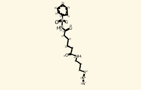 [N-]=[N+]=NCCCNC(=O)CCCCC(=O)NS(=O)(=O)c1ccccc1